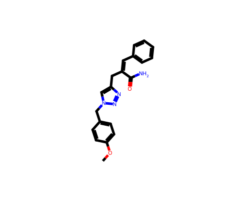 COc1ccc(Cn2cc(CC(=Cc3ccccc3)C(N)=O)nn2)cc1